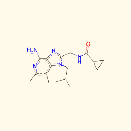 Cc1nc(N)c2nc(CNC(=O)C3CC3)n(CC(C)C)c2c1C